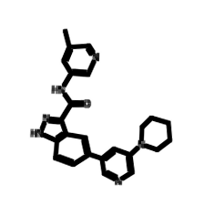 Cc1cncc(NC(=O)c2n[nH]c3ccc(-c4cncc(N5CCCCC5)c4)cc23)c1